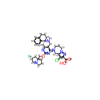 CN1Cc2c(nc(OCC34CCCN3C[C@H](F)C4)nc2N2CCCn3nc(C(=O)O)c(Cl)c3C2)C[C@]12CCCc1ccccc12